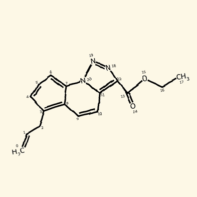 C=CCc1cccc2c1ccc1c(C(=O)OCC)nnn12